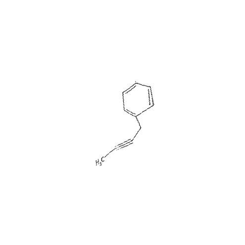 CC#CCc1cc[c]cc1